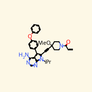 C=CC(=O)N1CCC(C#Cc2c(-c3ccc(Oc4ccccc4)cc3)c3c(N)ncnc3n2C(C)C)(OC)CC1